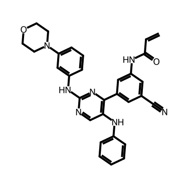 C=CC(=O)Nc1cc(C#N)cc(-c2nc(Nc3cccc(N4CCOCC4)c3)ncc2Nc2ccccc2)c1